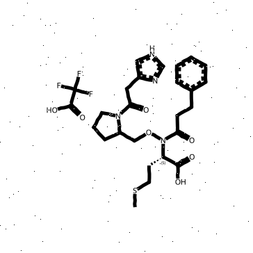 CSCC[C@@H](C(=O)O)N(OCC1CCCN1C(=O)Cc1c[nH]cn1)C(=O)CCc1ccccc1.O=C(O)C(F)(F)F